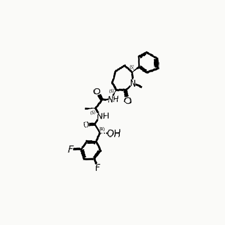 C[C@H](NC(=O)[C@H](O)c1cc(F)cc(F)c1)C(=O)N[C@H]1CCC[C@@H](c2ccccc2)N(C)C1=O